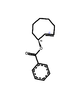 O=C(O[C@@H]1/C=C/CCCCC1)c1ccccc1